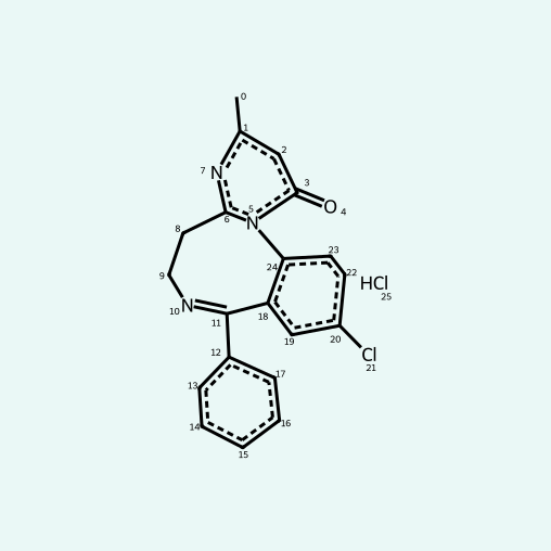 Cc1cc(=O)n2c(n1)CC/N=C(/c1ccccc1)c1cc(Cl)ccc1-2.Cl